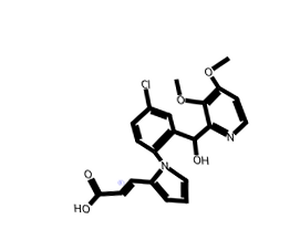 COc1ccnc(C(O)c2cc(Cl)ccc2-n2cccc2/C=C/C(=O)O)c1OC